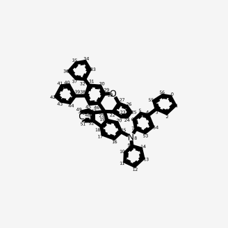 c1ccc(-c2ccc(N(c3ccccc3)c3ccc4c(c3)C3(c5ccccc5Oc5cc(-c6ccccc6)c(-c6ccccc6)cc53)c3ccccc3-4)cc2)cc1